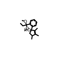 CCC(OC)(OC)c1ccccc1C1(O)CC(C)C(C)=C1C